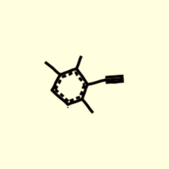 C#Cc1c(C)[c]cc(C)c1C